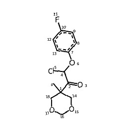 CC1(C(=O)C(Cl)Oc2ccc(F)cc2)COCOC1